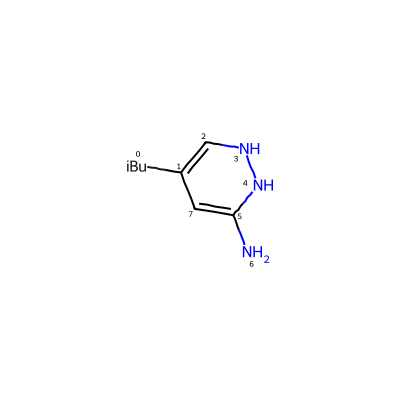 CCC(C)C1=CNNC(N)=C1